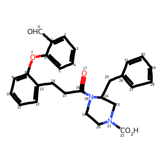 O=Cc1ccccc1Oc1ccccc1CCC(=O)N1CCN(C(=O)O)CC1Cc1ccccc1